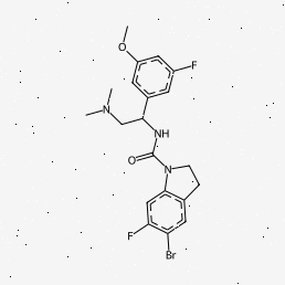 COc1cc(F)cc(C(CN(C)C)NC(=O)N2CCc3cc(Br)c(F)cc32)c1